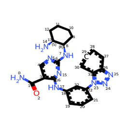 NC(=O)c1cnc(N[C@@H]2CCCC[C@@H]2N)nc1Nc1cccc(-n2nnc3ccccc32)c1